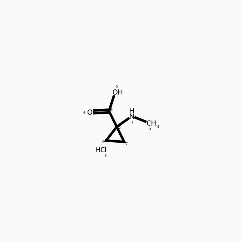 CNC1(C(=O)O)CC1.Cl